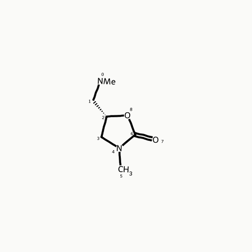 CNC[C@H]1CN(C)C(=O)O1